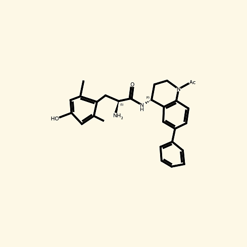 CC(=O)N1CC[C@@H](NC(=O)[C@@H](N)Cc2c(C)cc(O)cc2C)c2cc(-c3ccccc3)ccc21